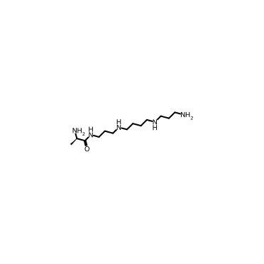 C[C@@H](N)C(=O)NCCCNCCCCNCCCN